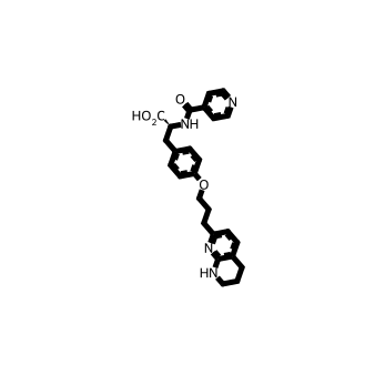 O=C(N[C@H](Cc1ccc(OCCCc2ccc3c(n2)NCCC3)cc1)C(=O)O)c1ccncc1